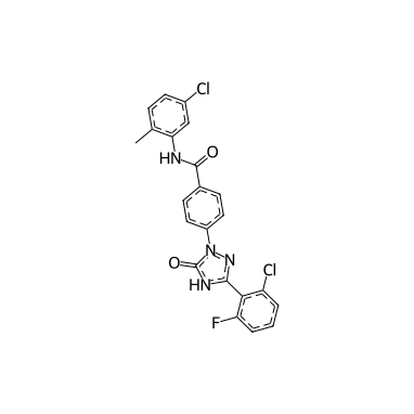 Cc1ccc(Cl)cc1NC(=O)c1ccc(-n2nc(-c3c(F)cccc3Cl)[nH]c2=O)cc1